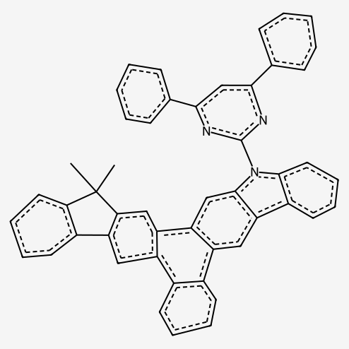 CC1(C)c2ccccc2-c2cc3c4ccccc4c4cc5c6ccccc6n(-c6nc(-c7ccccc7)cc(-c7ccccc7)n6)c5cc4c3cc21